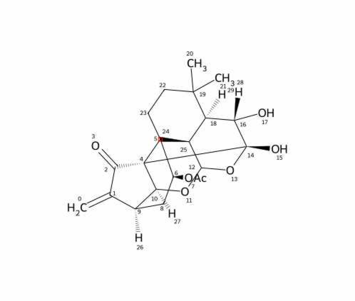 C=C1C(=O)[C@@]23C4[C@@H](OC(C)=O)C[C@@H]1[C@@H]2OC1O[C@@]3(O)[C@@H](O)[C@@H]2C(C)(C)CCC[C@@]142